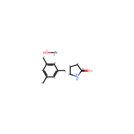 CC(C)O.Cc1cc(C)cc(C)c1.O=C1CCCN1